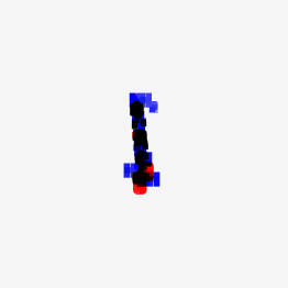 Nc1ccc(N2CCN(C3CCC4(CC3)CCN(c3ccc(C(=O)NC5CCC(=O)NC5=O)nc3)CC4)CC2)cc1